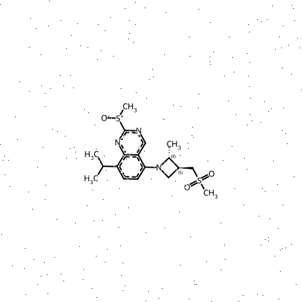 CC(C)c1ccc(N2C[C@H](CS(C)(=O)=O)[C@H]2C)c2cnc([S+](C)[O-])nc12